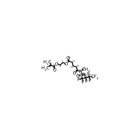 C=C(C)C(=O)OCCOC(=O)CCCC(=O)N(C)S(=O)(=O)C(F)(F)C(F)(F)C(F)(F)C(F)(F)F